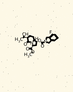 COC(=O)[C@@H]1C[C@@H](OC(=O)N2Cc3cccc(F)c3C2)[C@H]2CC[C@H](C(C)C)C(=O)N21